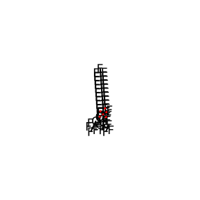 FC(F)(F)C(F)(F)O[Si](OC(F)(F)C(F)(F)F)(OC(F)(F)C(F)(F)F)C(F)(F)C(F)(F)C(F)(F)C(F)(F)C(F)(F)C(F)(F)C(F)(F)C(F)(F)C(F)(F)C(F)(F)C(F)(F)C(F)(F)C(F)(F)F